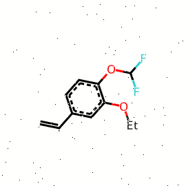 C=[C]c1ccc(OC(F)F)c(OCC)c1